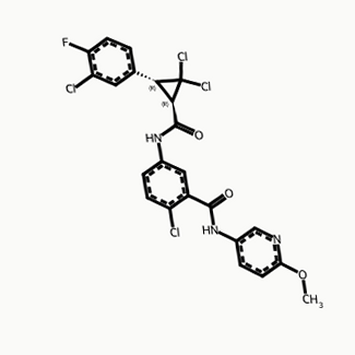 COc1ccc(NC(=O)c2cc(NC(=O)[C@H]3[C@H](c4ccc(F)c(Cl)c4)C3(Cl)Cl)ccc2Cl)cn1